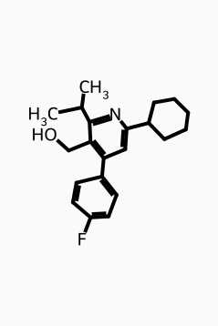 CC(C)c1nc(C2CCCCC2)cc(-c2ccc(F)cc2)c1CO